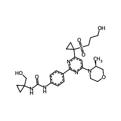 C[C@H]1COCCN1c1cc(C2(S(=O)(=O)CCCO)CC2)nc(-c2ccc(NC(=O)NC3(CO)CC3)cc2)n1